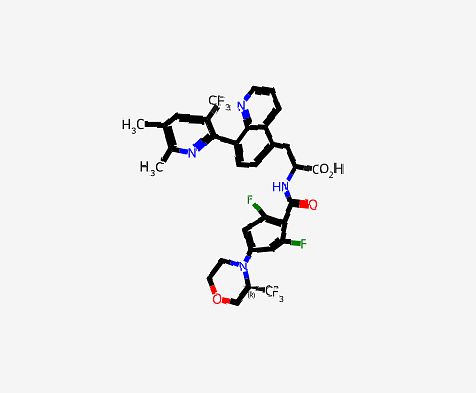 Cc1cc(C(F)(F)F)c(-c2ccc(CC(NC(=O)c3c(F)cc(N4CCOC[C@@H]4C(F)(F)F)cc3F)C(=O)O)c3cccnc23)nc1C